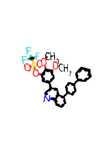 COc1cc(-c2cnc3cccc(-c4ccc(-c5ccccc5)cc4)c3c2)cc(OS(=O)(=O)C(F)(F)F)c1OC